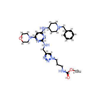 CC(C)(C)OC(=O)NCCCn1cc(CNc2nc(NC3CCN(Cc4ccccc4)CC3)cc(N3CCOCC3)n2)nn1